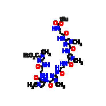 CCOC(=O)c1nc(NC(=O)CCNC(=O)c2c(NC(=O)c3nc(NC(=O)CCNC(=O)c4cc(NC(=O)c5nc(NC(=O)CCNC(=O)OC(C)(C)C)cn5C)cn4C)cn3C)ccn2C)cn1C